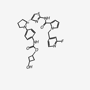 O=C(Nc1ccc(N2CCC[C@@H]2c2csc(NC(=O)c3cccn3Cc3ccnc(F)c3)n2)cc1)OC1CC(O)C1